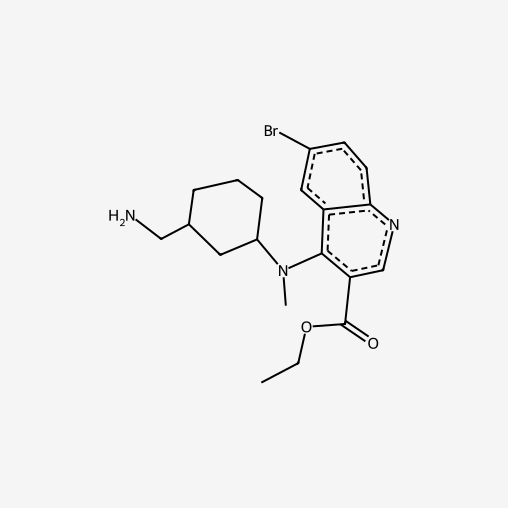 CCOC(=O)c1cnc2ccc(Br)cc2c1N(C)C1CCCC(CN)C1